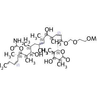 C=C/C=C\[C@H](C)[C@H](OC(N)=O)[C@@H](C)[C@H](O)[C@@H](C)C/C(C)=C\[C@H](C)[C@@H](O)[C@@H](C)/C=C\[C@H](C[C@@H]1OC(=O)[C@H](C)[C@@H](O)[C@H]1C)OCOCCOC